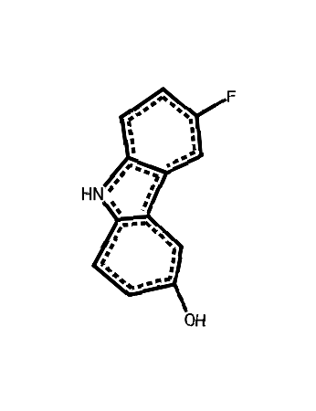 Oc1ccc2[nH]c3ccc(F)cc3c2c1